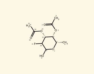 CC(=O)O[C@@H]1[C@H](C)OC(O)C(F)[C@@H]1OC(C)=O